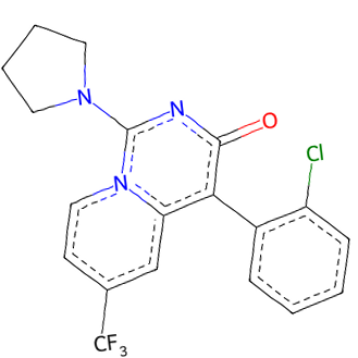 O=c1nc(N2CCCC2)n2ccc(C(F)(F)F)cc2c1-c1ccccc1Cl